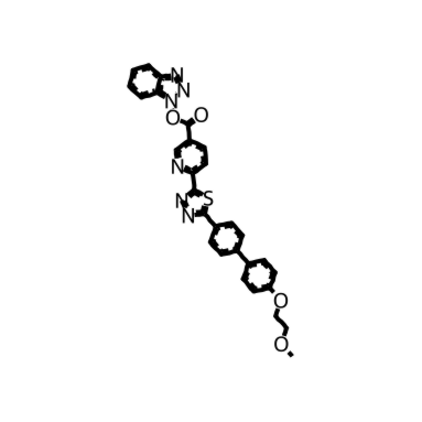 COCCOc1ccc(-c2ccc(-c3nnc(-c4ccc(C(=O)On5nnc6ccccc65)cn4)s3)cc2)cc1